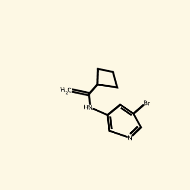 C=C(Nc1cncc(Br)c1)C1CCC1